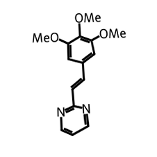 COc1cc(C=Cc2ncccn2)cc(OC)c1OC